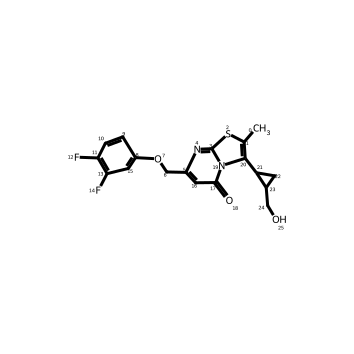 Cc1sc2nc(COc3ccc(F)c(F)c3)cc(=O)n2c1C1CC1CO